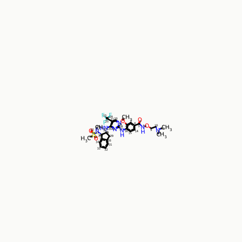 COc1cc(C(=O)NOCCN(C)C)ccc1Nc1ncc(C(F)(F)F)c(N[C@@H]2Cc3ccccc3[C@H]2N(C)S(C)(=O)=O)n1